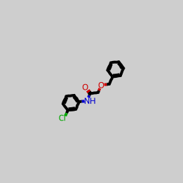 O=C(COCc1ccccc1)Nc1cccc(Cl)c1